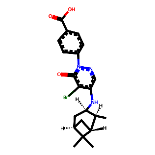 C[C@H]1[C@H]2C[C@H](C[C@H]1Nc1cnn(-c3ccc(C(=O)O)cc3)c(=O)c1Br)C2(C)C